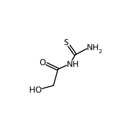 NC(=S)NC(=O)CO